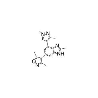 Cc1nc2c(-c3cn(C)nc3C)cc(-c3c(C)noc3C)cc2[nH]1